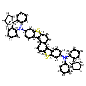 c1ccc2c(c1)N(c1ccc3c(c1)sc1ccc4c(ccc5sc6cc(N7c8ccccc8[Si]8(CCCC8)c8ccccc87)ccc6c54)c13)c1ccccc1[Si]21CCCC1